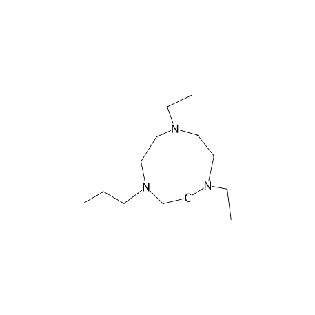 CCCN1CCN(CC)CCN(CC)CC1